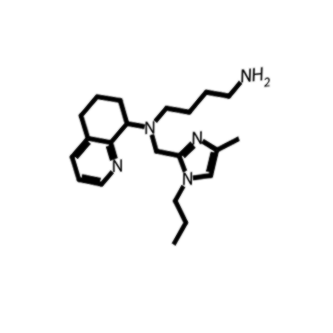 CCCn1cc(C)nc1CN(CCCCN)C1CCCc2cccnc21